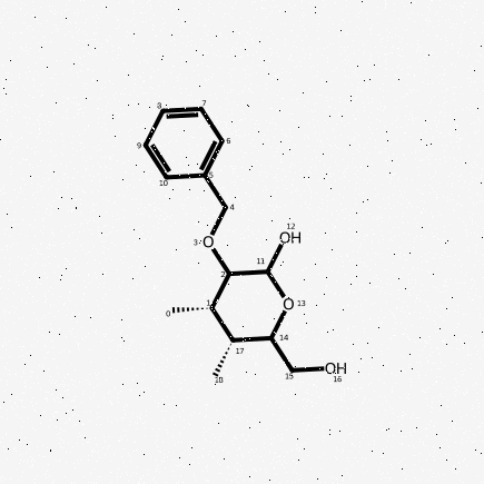 C[C@@H]1C(OCc2ccccc2)C(O)OC(CO)[C@@H]1C